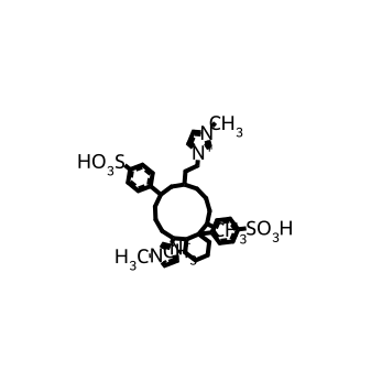 CC1CCCC(CC[n+]2ccn(C)c2)CC(c2ccc(S(=O)(=O)O)cc2)CCCC(C)C2([n+]3ccn(C)c3)CCCCC12c1ccc(S(=O)(=O)O)cc1